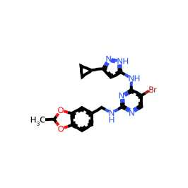 CC1Oc2ccc(CNc3ncc(Br)c(Nc4cc(C5CC5)n[nH]4)n3)cc2O1